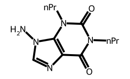 CCCn1c(=O)c2ncn(N)c2n(CCC)c1=O